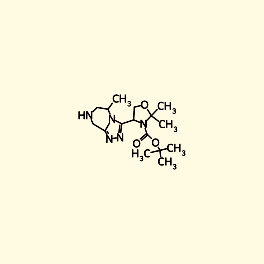 CC1CNCc2nnc(C3COC(C)(C)N3C(=O)OC(C)(C)C)n21